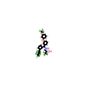 OC(CNC(c1cccc(Oc2cccc(SC(F)(F)F)c2)c1)c1cccc(C(F)(F)C(F)(F)C(F)(F)F)c1)C(F)(F)F